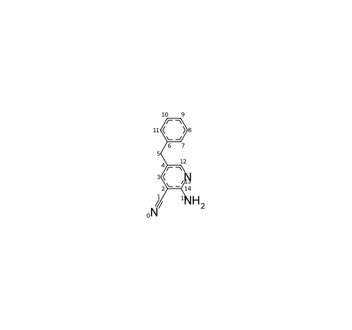 N#Cc1cc(Cc2ccccc2)cnc1N